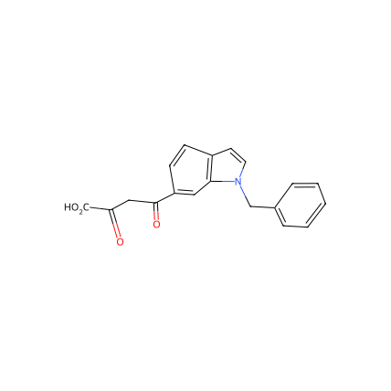 O=C(O)C(=O)CC(=O)c1ccc2ccn(Cc3ccccc3)c2c1